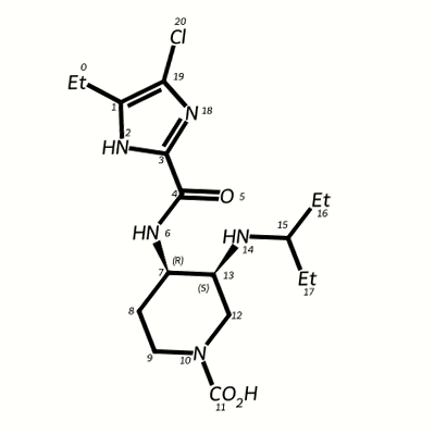 CCc1[nH]c(C(=O)N[C@@H]2CCN(C(=O)O)C[C@@H]2NC(CC)CC)nc1Cl